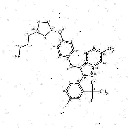 CC(F)(F)c1cc(F)ccc1-c1sc2cc(O)ccc2c1Oc1ccc(O[C@H]2CCN(CCCF)C2)cc1